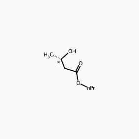 CCCOC(=O)C[C@H](C)O